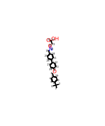 CC(C)(C)c1ccc(COc2ccc(-c3ccc(/C=N/OCC(=O)O)cc3)cc2)cc1